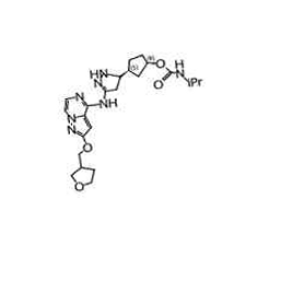 CC(C)NC(=O)O[C@@H]1CC[C@H](C2CC(Nc3nccn4nc(OCC5CCOC5)cc34)=NN2)C1